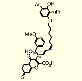 CCCc1c(OCCCCC/C=C\C=C\[C@@H](c2c(C(=O)O)oc3c(c2=O)=CCC(=S)C=3)[C@@H](O)c2cccc(OC)c2)ccc(C(C)=O)c1O